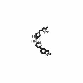 Cc1cc(CN2C[C@@H]3[C@H](C2)[C@@H]3Nc2ccc(-c3ccc4nn(C)cc4c3)nn2)nn1C